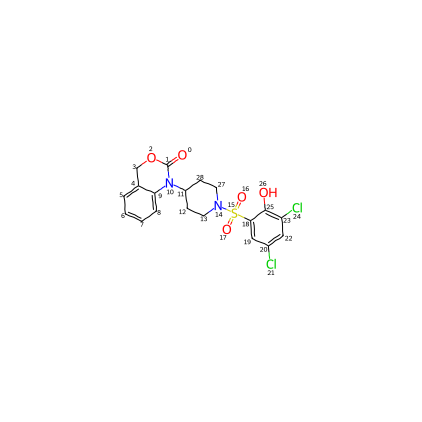 O=C1OCc2ccccc2N1C1CCN(S(=O)(=O)c2cc(Cl)cc(Cl)c2O)CC1